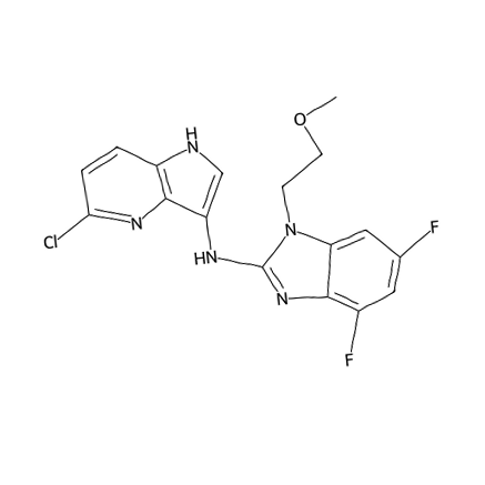 COCCn1c(Nc2c[nH]c3ccc(Cl)nc23)nc2c(F)cc(F)cc21